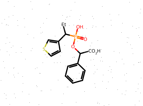 CCC(c1ccsc1)P(=O)(O)OC(C(=O)O)c1ccccc1